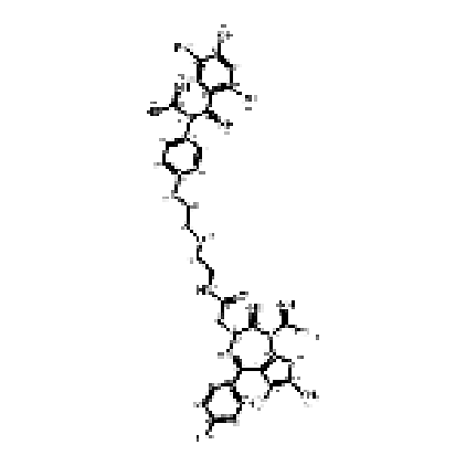 CC(=N)N1C(=N)[C@H](CC(=O)NCCOCCOc2ccc(N(C(=N)S)C(=N)c3cc(C(C)C)c(O)cc3O)cc2)N=C(c2ccc(Cl)cc2)c2c1sc(C)c2C